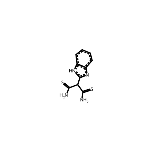 NC(=S)C(C(N)=S)c1nc2ccccc2[nH]1